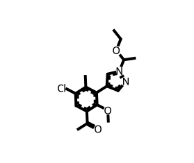 CCOC(C)n1cc(-c2c(C)c(Cl)cc(C(C)=O)c2OC)cn1